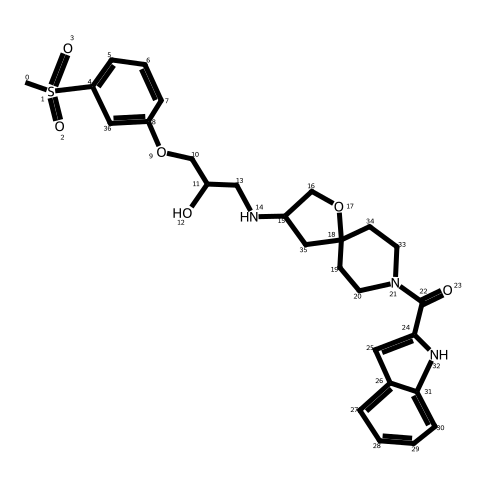 CS(=O)(=O)c1cccc(OCC(O)CNC2COC3(CCN(C(=O)c4cc5ccccc5[nH]4)CC3)C2)c1